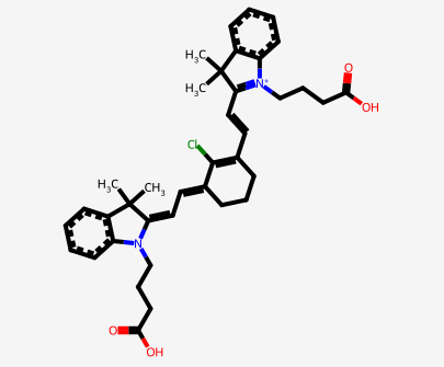 CC1(C)C(/C=C/C2=C(Cl)C(=C/C=C3/N(CCCC(=O)O)c4ccccc4C3(C)C)/CCC2)=[N+](CCCC(=O)O)c2ccccc21